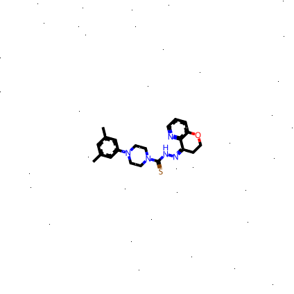 Cc1cc(C)cc(N2CCN(C(=S)N/N=C3/CCOc4cccnc43)CC2)c1